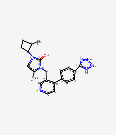 CCCCc1cn(C2CCC2C(C)(C)C)c(=O)n1Cc1cnccc1-c1ccc(-c2nnn[nH]2)cc1